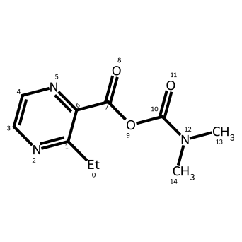 CCc1nccnc1C(=O)OC(=O)N(C)C